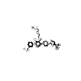 CCOCCOc1c(N2CCN(c3ncc([N+](=O)[O-])s3)CC2)cnn(-c2cccc(C)c2)c1=O